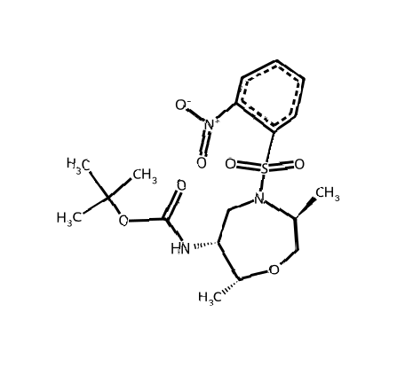 C[C@H]1OC[C@H](C)N(S(=O)(=O)c2ccccc2[N+](=O)[O-])C[C@H]1NC(=O)OC(C)(C)C